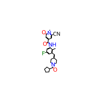 Cc1c(C=C2CCN(C(=O)C3CCCC3)CC2)cc(F)cc1NC(=O)c1cc(C#N)n(C)c(=O)c1